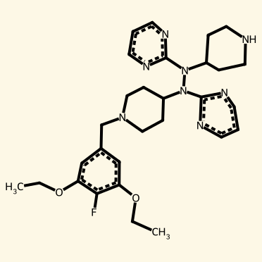 CCOc1cc(CN2CCC(N(c3ncccn3)N(c3ncccn3)C3CCNCC3)CC2)cc(OCC)c1F